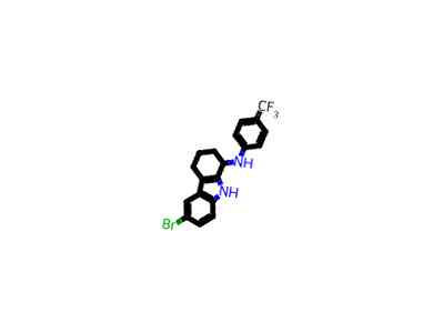 FC(F)(F)c1ccc(NC2CCCc3c2[nH]c2ccc(Br)cc32)cc1